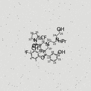 Cc1c(F)cccc1[C@H]1[C@@H](C(=O)c2cccc(O)c2)CN(CCN(CCO)C(C)C)C[C@@H]1C(=O)N1CCC[C@@H]1C(F)(F)F